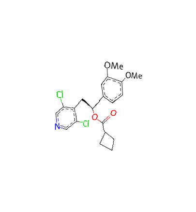 COc1ccc([C@H](Cc2c(Cl)cncc2Cl)OC(=O)C2CCC2)cc1OC